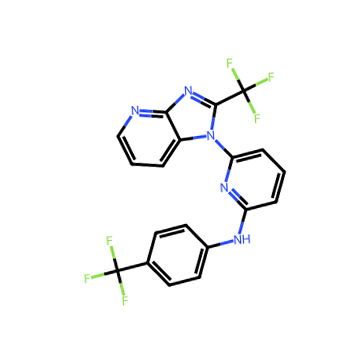 FC(F)(F)c1ccc(Nc2cccc(-n3c(C(F)(F)F)nc4ncccc43)n2)cc1